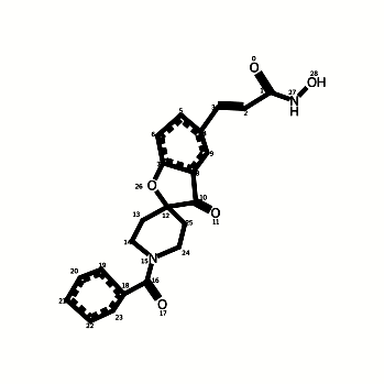 O=C(C=Cc1ccc2c(c1)C(=O)C1(CCN(C(=O)c3ccccc3)CC1)O2)NO